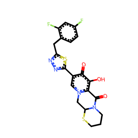 O=C1c2c(O)c(=O)c(-c3nnc(Cc4ccc(F)cc4F)s3)cn2CC2SCCCN12